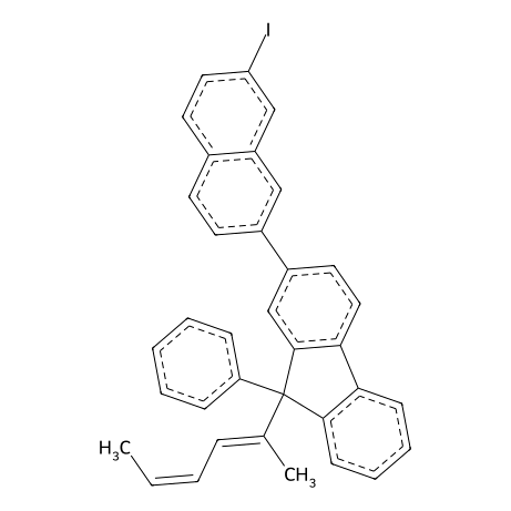 C/C=C\C=C(/C)C1(c2ccccc2)c2ccccc2-c2ccc(-c3ccc4ccc(I)cc4c3)cc21